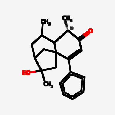 CC1CC2CC3(CC2(C)O)C(c2ccccc2)=CC(=O)[C@@H](C)C13